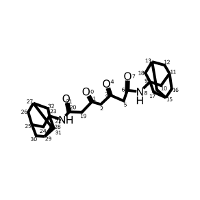 O=C(CC(=O)CC(=O)NC12CC3CC(CC(C3)C1)C2)CC(=O)NC12CC3CC(CC(C3)C1)C2